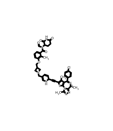 Cc1c(OCC2CN(CC3=CNC(C#Cc4sc5c(c4C)C(c4ccc(Cl)cc4)=N[C@@H](C)c4nnc(C)n4-5)C=C3)C2)cccc1C(=O)N(C=O)C1CCC(=O)NC1=O